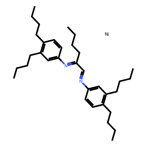 CCCCC(C=Nc1ccc(CCCC)c(CCCC)c1)=Nc1ccc(CCCC)c(CCCC)c1.[Ni]